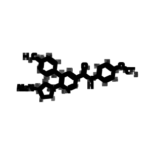 CN[C@@H]1CCN(c2ncc(C(=O)Nc3ccc(OC(F)(F)F)cc3)cc2-c2ccc(C)nc2)C1